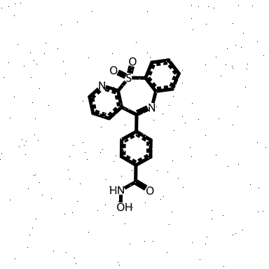 O=C(NO)c1ccc(C2=Nc3ccccc3S(=O)(=O)c3ncccc32)cc1